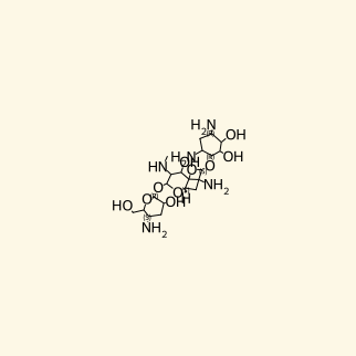 CNC1C(O[C@H]2OC(CO)[C@@H](N)CC2O)O[C@H]2CC3(N)[C@@H](O[C@@H]4C(N)C[C@@H](N)C(O)C4O)OC23C1O